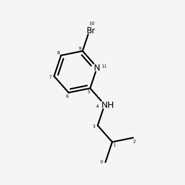 CC(C)CNc1cccc(Br)n1